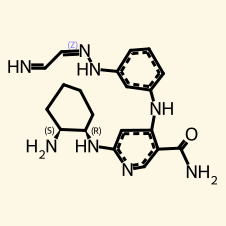 N=C/C=N\Nc1cccc(Nc2cc(N[C@@H]3CCCC[C@@H]3N)ncc2C(N)=O)c1